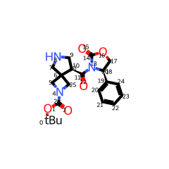 CC(C)(C)OC(=O)N1CC2(CNC[C@H]2C(=O)N2C(=O)OC[C@H]2c2ccccc2)C1